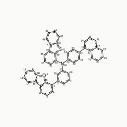 c1cc(-c2cccc3c2oc2ccccc23)cc(N(c2ccc(-c3cccc4ccccc34)cc2)c2cccc3c2sc2ccccc23)c1